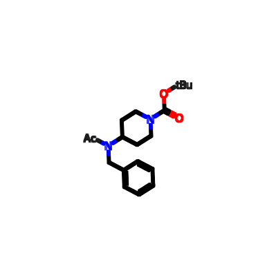 CC(=O)N(Cc1ccccc1)C1CCN(C(=O)OC(C)(C)C)CC1